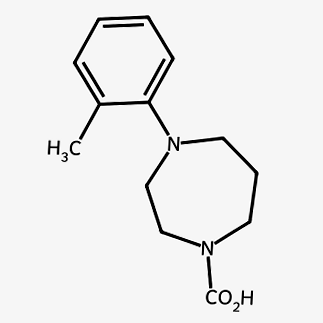 Cc1ccccc1N1CCCN(C(=O)O)CC1